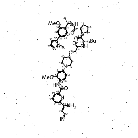 COc1cc(N2CCC(OCC(=O)N[C@H](C(=O)N3CCC[C@H]3C(=O)N[C@@H](C)c3ccc(-c4ccnn4C)cc3OC)C(C)(C)C)CC2)ccc1NC(=O)c1cccc(/C(N)=C/C=N)n1